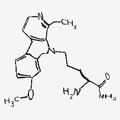 COc1ccc2c3ccnc(C)c3n(CCCC(N)C(N)=O)c2c1